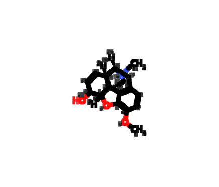 [2H]C12Oc3c(OC)ccc4c3[C@@]13CCN(C)[C@H](C4)[C@]3([2H])C=CC2O